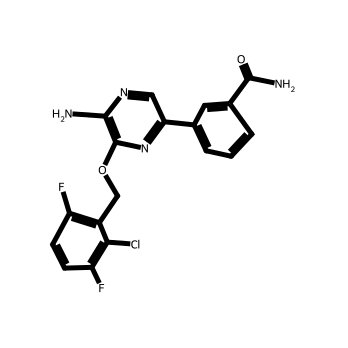 NC(=O)c1cccc(-c2cnc(N)c(OCc3c(F)ccc(F)c3Cl)n2)c1